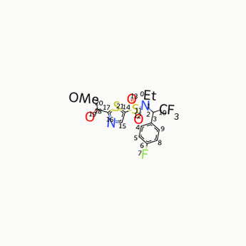 CCN(C(c1ccc(F)cc1)C(F)(F)F)S(=O)(=O)c1cnc(C(=O)OC)s1